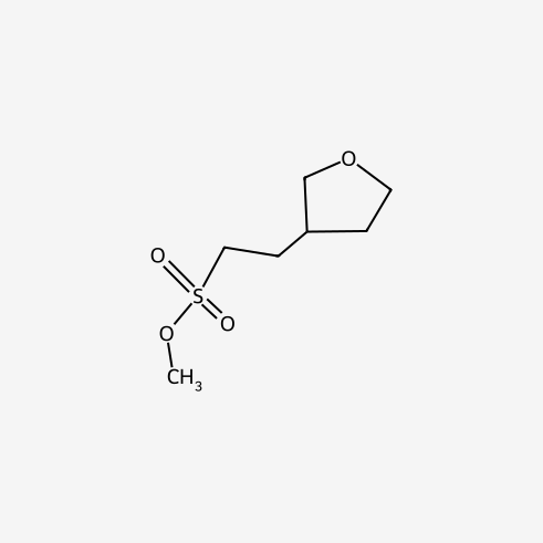 COS(=O)(=O)CCC1CCOC1